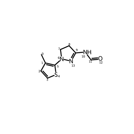 Cc1ccsc1N1CCC(NC=O)=N1